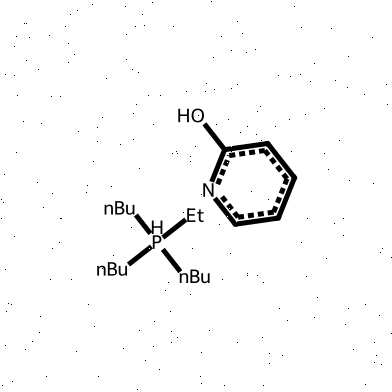 CCCC[PH](CC)(CCCC)CCCC.Oc1ccccn1